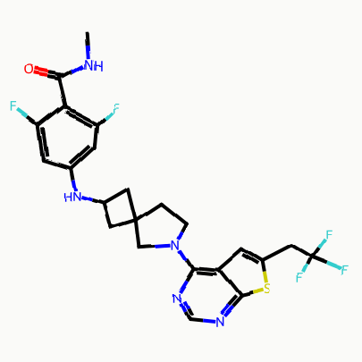 CNC(=O)c1c(F)cc(NC2CC3(CCN(c4ncnc5sc(CC(F)(F)F)cc45)C3)C2)cc1F